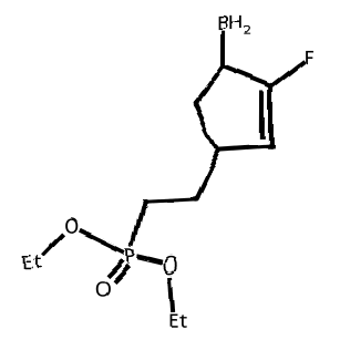 BC1CC(CCP(=O)(OCC)OCC)C=C1F